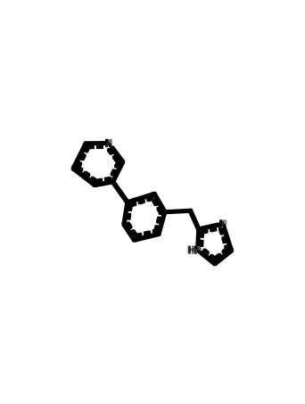 c1cncc(-c2cccc(Cc3ncc[nH]3)c2)c1